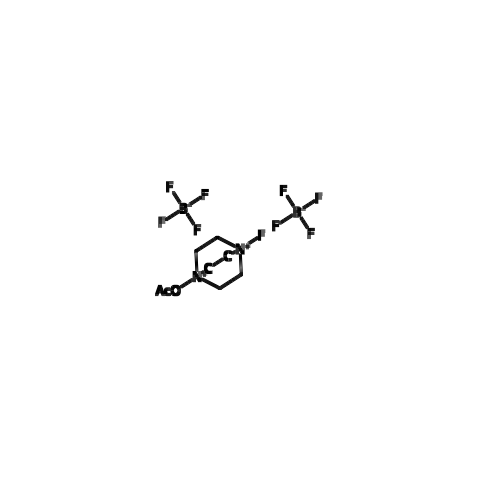 CC(=O)O[N+]12CC[N+](F)(CC1)CC2.F[B-](F)(F)F.F[B-](F)(F)F